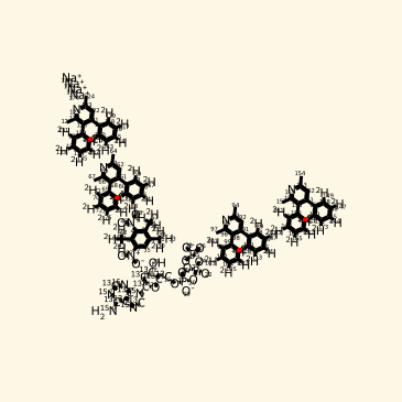 [15NH2][13c]1[15n][13cH][15n][13c]2[13c]1[15n][13cH][15n]2[13C@H]1[13CH2][13C@H](O)[13C@@H]([13CH2]OP(=O)([O-])OP(=O)([O-])OP(=O)([O-])[O-])O1.[2H]C([2H])([2H])c1cc([N+](=O)[O-])c(C([2H])([2H])[2H])c([N+](=O)[O-])c1C([2H])([2H])[2H].[2H]c1c([2H])c([2H])c(-c2cc(C)nc(C)c2-c2c([2H])c([2H])c([2H])c([2H])c2Cl)c([2H])c1[2H].[2H]c1c([2H])c([2H])c(-c2cc(C)nc(C)c2-c2c([2H])c([2H])c([2H])c([2H])c2Cl)c([2H])c1[2H].[2H]c1c([2H])c([2H])c(-c2cc(C)nc(C)c2-c2c([2H])c([2H])c([2H])c([2H])c2Cl)c([2H])c1[2H].[2H]c1c([2H])c([2H])c(-c2cc(C)nc(C)c2-c2c([2H])c([2H])c([2H])c([2H])c2Cl)c([2H])c1[2H].[Na+].[Na+].[Na+].[Na+]